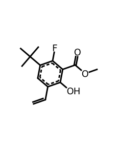 C=Cc1cc(C(C)(C)C)c(F)c(C(=O)OC)c1O